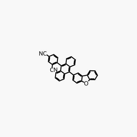 N#Cc1ccc(-c2c3ccccc3c(-c3ccc4oc5ccccc5c4c3)c3ccccc23)c(C#N)c1